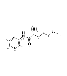 NC(CCCCF)C(=O)Nc1ccccc1